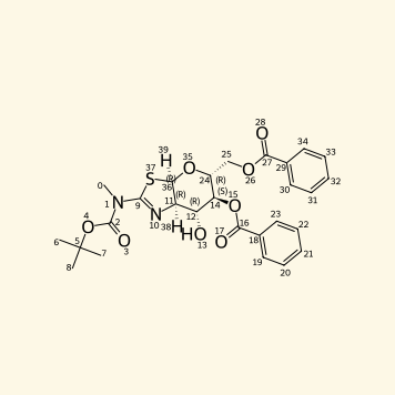 CN(C(=O)OC(C)(C)C)C1=N[C@@H]2[C@@H](O)[C@H](OC(=O)c3ccccc3)[C@@H](COC(=O)c3ccccc3)O[C@@H]2S1